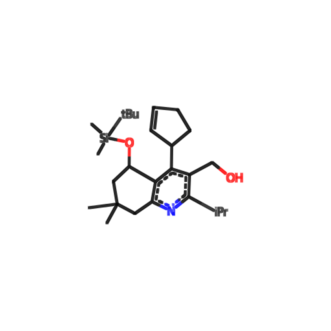 CC(C)c1nc2c(c(C3C=CCC3)c1CO)C(O[Si](C)(C)C(C)(C)C)CC(C)(C)C2